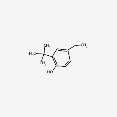 C[CH]c1ccc(O)c(C(C)(C)C)c1